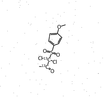 COc1ccc(S(=O)(=O)[13C](Cl)(Cl)[13C](C)=O)cc1